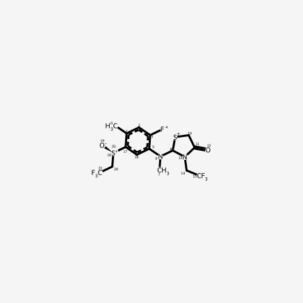 Cc1cc(F)c(N(C)C2SCC(=O)N2CC(F)(F)F)cc1[S@+]([O-])CC(F)(F)F